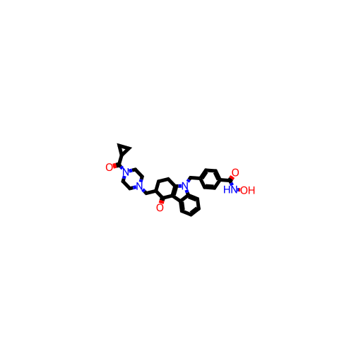 O=C(NO)c1ccc(Cn2c3c(c4ccccc42)C(=O)C(CN2CCN(C(=O)C4CC4)CC2)CC3)cc1